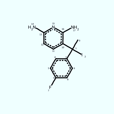 CC(I)(c1ccc(F)cc1)c1ccc(N)nc1N